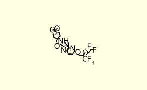 Cn1c(C(=O)NC2(C)CCS(=O)(=O)CC2)nc2ccc(OC[C@H](OCC(F)F)C(F)(F)F)nc21